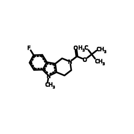 Cn1c2c(c3cc(F)ccc31)CN(C(=O)OC(C)(C)C)CC2